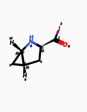 O=C(I)[C@@H]1C[C@@H]2C[C@@H]2N1